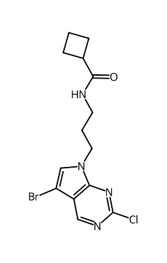 O=C(NCCCn1cc(Br)c2cnc(Cl)nc21)C1CCC1